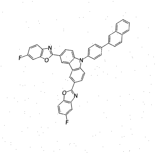 Fc1ccc2oc(-c3ccc4c(c3)c3cc(-c5nc6ccc(F)cc6o5)ccc3n4-c3ccc(-c4ccc5ccccc5c4)cc3)nc2c1